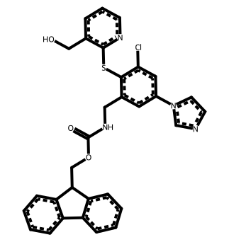 O=C(NCc1cc(-n2ccnc2)cc(Cl)c1Sc1ncccc1CO)OCC1c2ccccc2-c2ccccc21